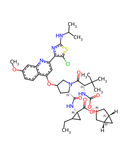 CCC1C[C@]1(NC(=O)[C@@H]1CC(Oc2cc(-c3nc(NC(C)C)sc3Cl)nc3cc(OC)ccc23)CN1C(=O)[C@@H](NC(=O)O[C@@H]1C[C@@H]2C[C@@H]2C1)C(C)(C)C)C(=O)O